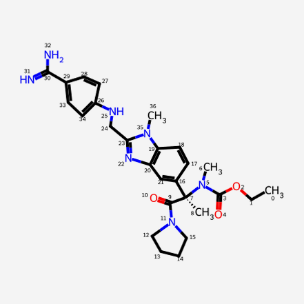 CCOC(=O)N(C)[C@@](C)(C(=O)N1CCCC1)c1ccc2c(c1)nc(CNc1ccc(C(=N)N)cc1)n2C